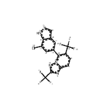 FC(F)(F)c1nc2ccc(C(F)(F)F)c(-c3cc(Cl)c4[nH]ncc4c3)n2n1